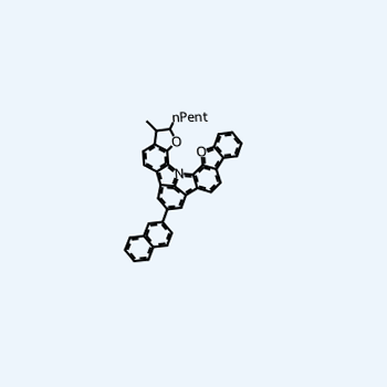 CCCCCC1Oc2c(ccc3c4cc(-c5ccc6ccccc6c5)cc5c6ccc7c8ccccc8oc7c6n(c23)c45)C1C